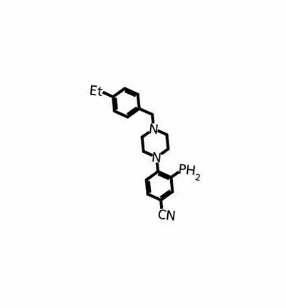 CCc1ccc(CN2CCN(c3ccc(C#N)cc3P)CC2)cc1